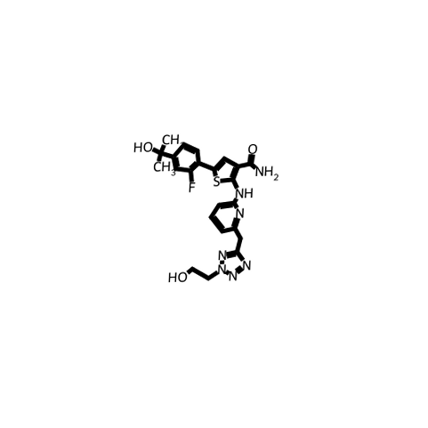 CC(C)(O)c1ccc(-c2cc(C(N)=O)c(Nc3cccc(Cc4nnn(CCO)n4)n3)s2)c(F)c1